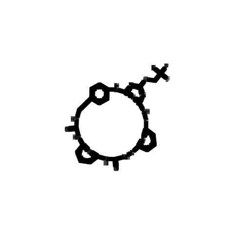 O=C1NCc2ccc(cc2)Nc2nc(nc(OCC(F)(F)F)n2)NCc2cccc(c2)CNC(=O)Nc2cccc(c2)N1